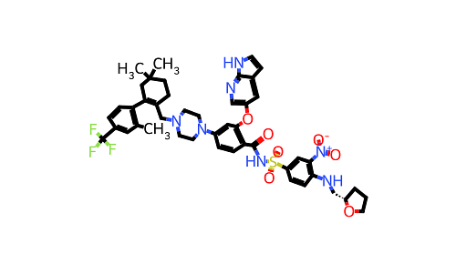 Cc1cc(C(F)(F)F)ccc1C1=C(CN2CCN(c3ccc(C(=O)NS(=O)(=O)c4ccc(NC[C@@H]5CCCO5)c([N+](=O)[O-])c4)c(Oc4cnc5[nH]ccc5c4)c3)CC2)CCC(C)(C)C1